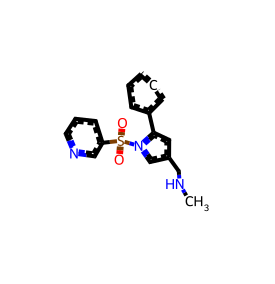 CNCc1cc(-c2ccccc2)n(S(=O)(=O)c2cccnc2)c1